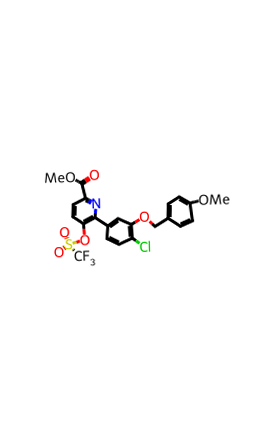 COC(=O)c1ccc(OS(=O)(=O)C(F)(F)F)c(-c2ccc(Cl)c(OCc3ccc(OC)cc3)c2)n1